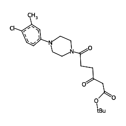 Cc1cc(N2CCN(C(=O)CCC(=O)CC(=O)OC(C)(C)C)CC2)ccc1Cl